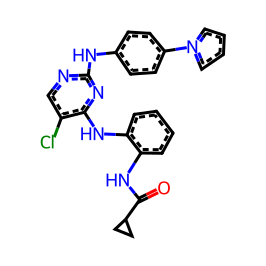 O=C(Nc1ccccc1Nc1nc(Nc2ccc(-n3cccc3)cc2)ncc1Cl)C1CC1